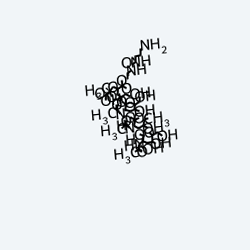 CC(=O)NC1C(OC2C(O)C(C)OC(OC3C(O)C(CO)OC(OC4C(CO)OC(OCCNC(=O)NCCCN)C5O[C@@](C)(C(=O)O)OC45)C3NC(C)=O)C2NC(C)=O)OC(CO)C(O)C1O